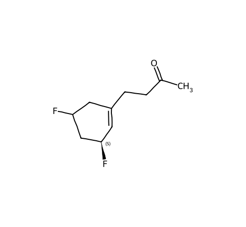 CC(=O)CCC1=C[C@@H](F)CC(F)C1